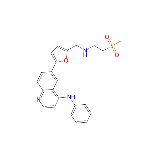 CS(=O)(=O)CCNCc1ccc(-c2ccc3nccc(Nc4ccccc4)c3c2)o1